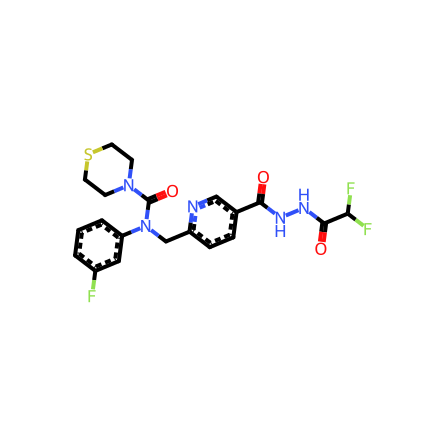 O=C(NNC(=O)C(F)F)c1ccc(CN(C(=O)N2CCSCC2)c2cccc(F)c2)nc1